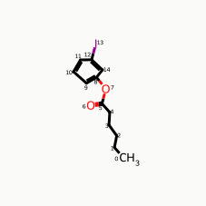 CCCCCC(=O)Oc1cccc(I)c1